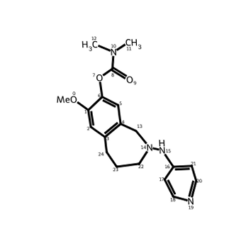 COc1cc2c(cc1OC(=O)N(C)C)CN(Nc1ccncc1)CCC2